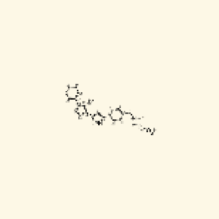 O=C(O)C1CN(Cc2ccc(-c3noc(-c4cnn(-c5ccccc5)c4Br)n3)cc2)C1